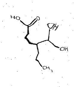 CCC(CC(=O)O)C(O)O